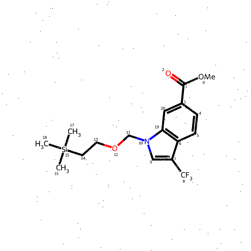 COC(=O)c1ccc2c(C(F)(F)F)cn(COCC[Si](C)(C)C)c2c1